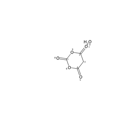 O.O=C1CC(=O)OC(=O)O1